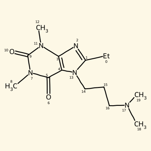 CCc1nc2c(c(=O)n(C)c(=O)n2C)n1CCCN(C)C